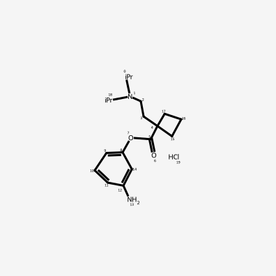 CC(C)N(CCC1(C(=O)Oc2cccc(N)c2)CCC1)C(C)C.Cl